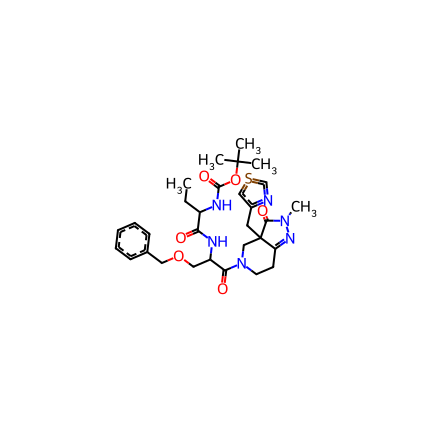 CCC(NC(=O)OC(C)(C)C)C(=O)NC(COCc1ccccc1)C(=O)N1CCC2=NN(C)C(=O)C2(Cc2cscn2)C1